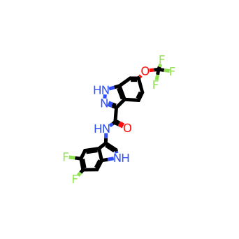 O=C(Nc1c[nH]c2cc(F)c(F)cc12)c1n[nH]c2cc(OC(F)(F)F)ccc12